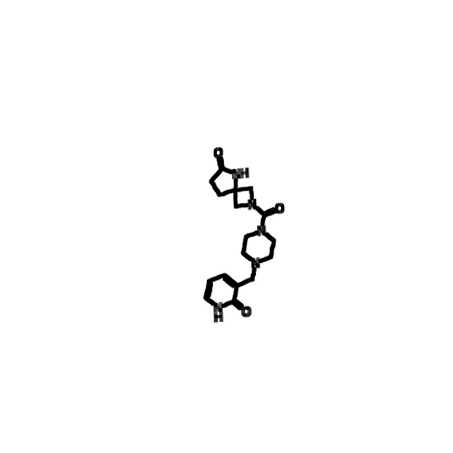 O=C1CCC2(CN(C(=O)N3CCN(Cc4ccc[nH]c4=O)CC3)C2)N1